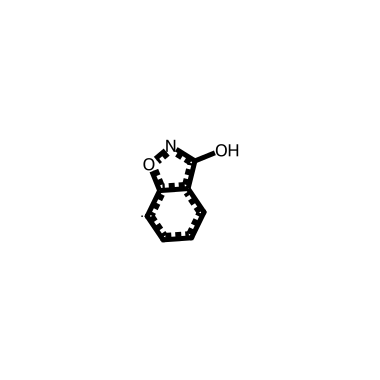 Oc1noc2[c]cccc12